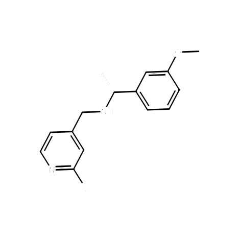 COc1cccc([C@@H](C)NCc2ccnc(Cl)c2)c1